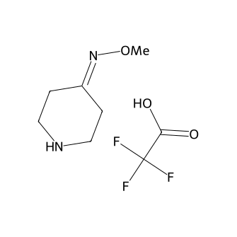 CON=C1CCNCC1.O=C(O)C(F)(F)F